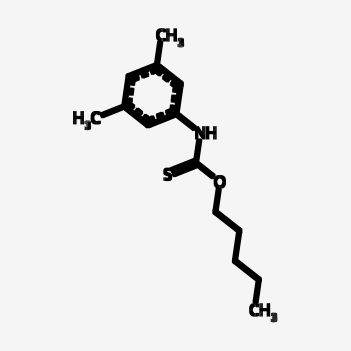 CCCCCOC(=S)Nc1cc(C)cc(C)c1